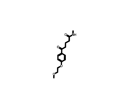 CNC(=O)CCCC(=O)c1ccc(OCCOC)cc1